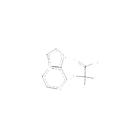 O=C(O)C(F)(F)F.c1cn2ccnc2cn1